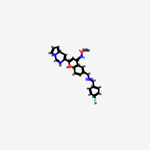 CC(C)(C)ON=c1cc(-c2cc3cccn3cn2)oc2ccc(CNCc3ccc(F)cc3)cc12